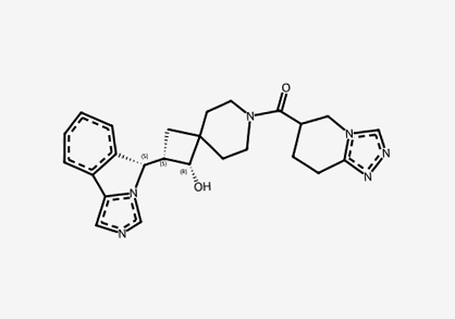 O=C(C1CCc2nncn2C1)N1CCC2(CC1)C[C@@H]([C@H]1c3ccccc3-c3cncn31)[C@H]2O